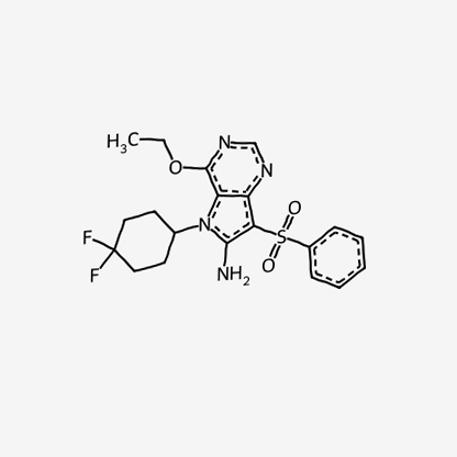 CCOc1ncnc2c(S(=O)(=O)c3ccccc3)c(N)n(C3CCC(F)(F)CC3)c12